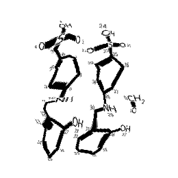 C=O.O=S(=O)(O)c1ccc(NCc2ccccc2O)cc1.O=S(=O)(O)c1ccc(NCc2ccccc2O)cc1